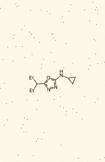 CCC(CC)c1nnc(NC2CC2)o1